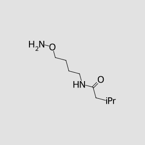 CC(C)CC(=O)NCCCCON